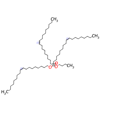 CCCCCCCC/C=C\CCCCCCCC[O][Ti](=[O])([CH2]CCCCCCC/C=C\CCCCCCCC)([CH2]CCCCCCC/C=C\CCCCCCCC)[O]CCCC